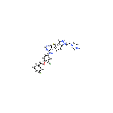 CN1CCN(CCn2ncc3c2CCc2c-3sc3ncnc(Nc4ccc(OCc5cccc(F)c5)c(Cl)c4)c23)CC1